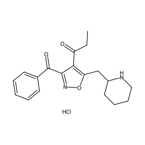 CCC(=O)c1c(C(=O)c2ccccc2)noc1CC1CCCCN1.Cl